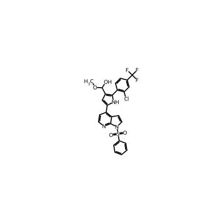 COC(O)c1cc(-c2ccnc3c2ccn3S(=O)(=O)c2ccccc2)[nH]c1-c1ccc(C(F)(F)F)cc1Cl